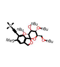 CCCCOC[C@H]1O[C@]2(OCc3cc(SC)c(C#C[Si](C)(C)C)cc32)[C@H](OCCCC)[C@@H](OCCCC)[C@@H]1OCCCC